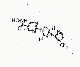 O=C(NO)c1cnc(N2C[C@@H]3C[C@H]2CN3c2cc(C(F)(F)F)ccn2)nc1